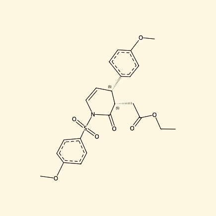 CCOC(=O)C[C@@H]1C(=O)N(S(=O)(=O)c2ccc(OC)cc2)C=C[C@@H]1c1ccc(OC)cc1